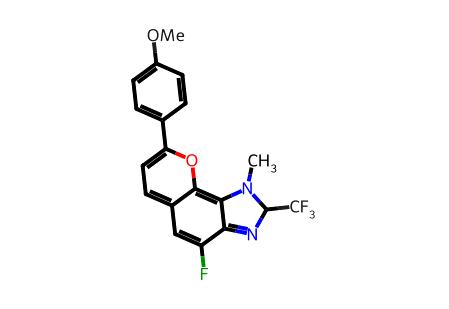 COc1ccc(C2=CC=c3cc(F)c4c(c3O2)N(C)C(C(F)(F)F)N=4)cc1